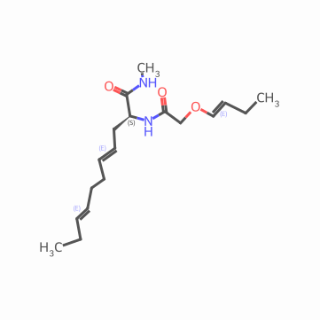 CC/C=C/CC/C=C/C[C@H](NC(=O)CO/C=C/CC)C(=O)NC